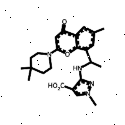 Cc1cc(C(C)Nc2nn(C)cc2C(=O)O)c2oc(N3CCC(C)(C)CC3)cc(=O)c2c1